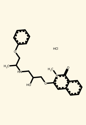 CC(COc1ccccc1)NCC(O)COc1cc2ccccc2c(=O)n1C.Cl